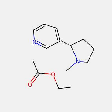 CCOC(C)=O.CN1CCC[C@H]1c1cccnc1